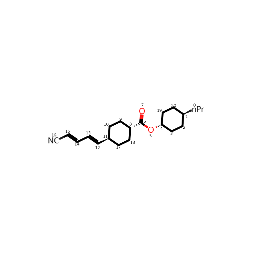 CCC[C@H]1CC[C@H](OC(=O)[C@H]2CC[C@H](C=CC=CC#N)CC2)CC1